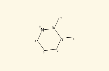 CC1[CH]CC[N]C1C